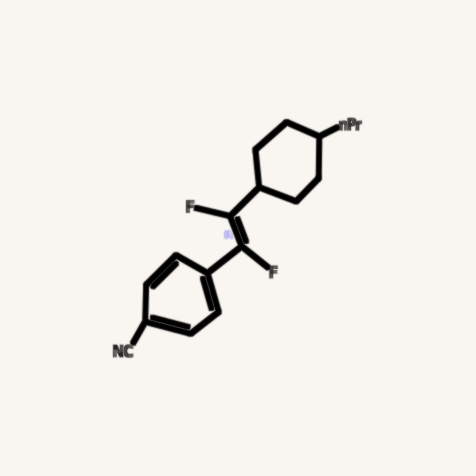 CCCC1CCC(/C(F)=C(\F)c2ccc(C#N)cc2)CC1